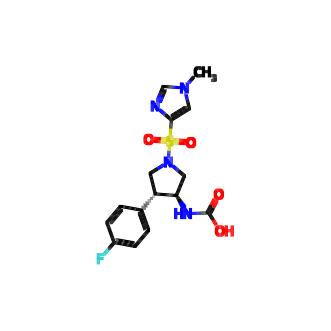 Cn1cnc(S(=O)(=O)N2C[C@@H](NC(=O)O)[C@H](c3ccc(F)cc3)C2)c1